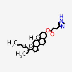 CCCCC[C@@H](CC)C1CCC2C3CC=C4CC(OC(=O)CCc5c[nH]cn5)CCC4(C)C3CCC21C